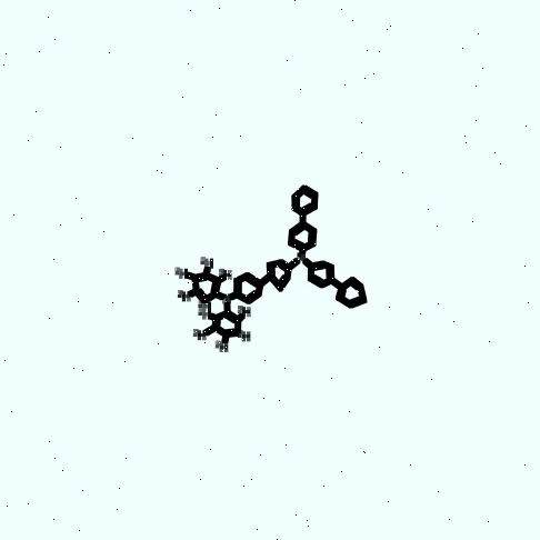 [2H]c1c([2H])c([2H])c(N(c2ccc(-c3ccc(N(c4ccc(-c5ccccc5)cc4)c4ccc(-c5ccccc5)cc4)cc3)cc2)c2c([2H])c([2H])c([2H])c([2H])c2[2H])c([2H])c1[2H]